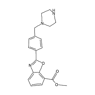 COC(=O)c1cccc2nc(-c3ccc(CN4CCNCC4)cc3)oc12